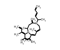 C=CC=CC(C)N1C/C=C(C)/C=C(/C(=C)C)N(/C(C(=C)C)=C(/C)C=C)C(C)CC1=C